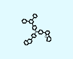 c1ccc(-c2cc(-c3ccccc3)cc(-c3ccc(N(c4ccc(-c5ccc6ccccc6c5)cc4)c4ccc(-c5cccc6c5oc5ccccc56)cc4)cc3)c2)cc1